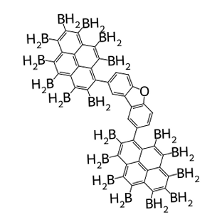 Bc1c(B)c2c(B)c(B)c3c(B)c(B)c(-c4ccc5oc6ccc(-c7c(B)c(B)c8c(B)c(B)c9c(B)c(B)c(B)c%10c(B)c(B)c7c8c9%10)cc6c5c4)c4c(B)c(B)c(c1B)c2c34